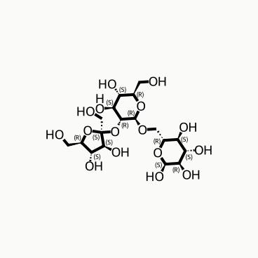 OC[C@H]1O[C@@](CO)(O[C@H]2[C@H](OC[C@H]3O[C@H](O)[C@H](O)[C@@H](O)[C@@H]3O)O[C@H](CO)[C@@H](O)[C@@H]2O)[C@@H](O)[C@@H]1O